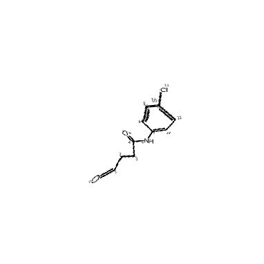 O=CCCC(=O)Nc1ccc(Cl)cc1